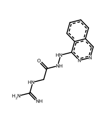 N=C(N)NCC(=O)NNc1nncc2ccccc12